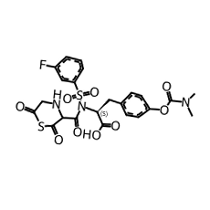 CN(C)C(=O)Oc1ccc(C[C@@H](C(=O)O)N(C(=O)C2NCC(=O)SC2=O)S(=O)(=O)c2cccc(F)c2)cc1